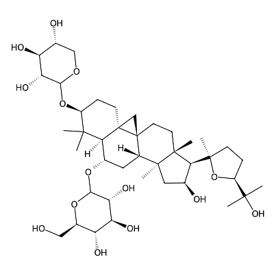 CC(C)(O)[C@@H]1CC[C@](C)([C@H]2[C@@H](O)C[C@@]3(C)[C@@H]4C[C@H](OC5O[C@H](CO)[C@@H](O)[C@H](O)[C@H]5O)[C@H]5C(C)(C)[C@@H](OC6OC[C@@H](O)[C@H](O)[C@H]6O)CC[C@@]56C[C@@]46CC[C@]23C)O1